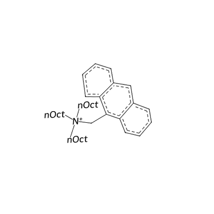 CCCCCCCC[N+](CCCCCCCC)(CCCCCCCC)Cc1c2ccccc2cc2ccccc12